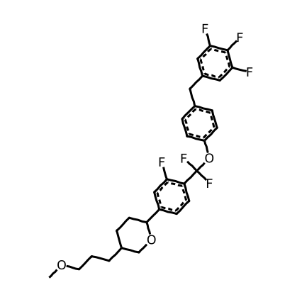 COCCCC1CCC(c2ccc(C(F)(F)Oc3ccc(Cc4cc(F)c(F)c(F)c4)cc3)c(F)c2)OC1